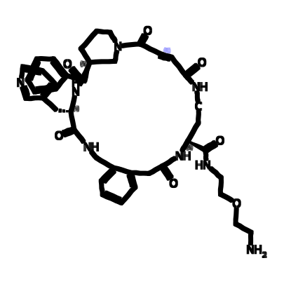 NCCOCCNC(=O)[C@@H]1CCNC(=O)/C=C/C(=O)N2CCC[C@](Cc3ccccc3)(C2)C(=O)N[C@@H](Cc2cccnc2)C(=O)NCc2ccccc2CC(=O)N1